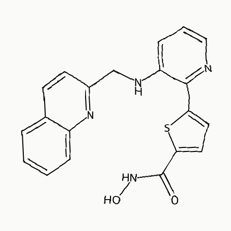 O=C(NO)c1ccc(-c2ncccc2NCc2ccc3ccccc3n2)s1